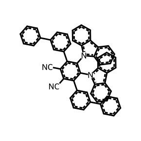 N#Cc1c(C#N)c(-c2cccc(-c3ccccc3)c2)c(-n2c3ccccc3c3ccccc32)c(-n2c3ccccc3c3ccccc32)c1-c1cccc(-c2ccccc2)c1